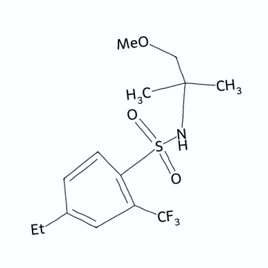 CCc1ccc(S(=O)(=O)NC(C)(C)COC)c(C(F)(F)F)c1